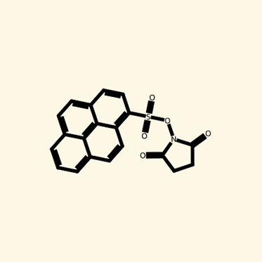 O=C1CCC(=O)N1OS(=O)(=O)c1ccc2ccc3cccc4ccc1c2c34